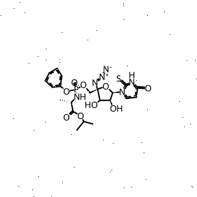 CC(C)OC(=O)[C@H](C)NP(=O)(OC[C@@]1(N=[N+]=[N-])O[C@@H](n2ccc(=O)[nH]c2=S)[C@@H](O)C1O)Oc1ccccc1